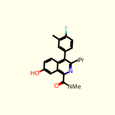 CNC(=O)c1nc(C(C)C)c(-c2ccc(F)c(C)c2)c2ccc(O)cc12